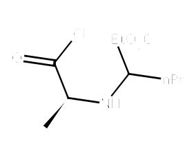 CCCC(N[C@@H](C)C(=O)Cl)C(=O)OCC